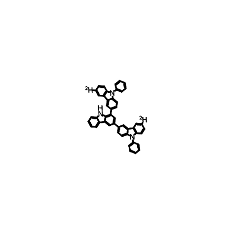 [2H]c1ccc2c(c1)c1cc(-c3cc(-c4ccc5c(c4)c4cc([2H])ccc4n5-c4ccccc4)c4[nH]c5ccccc5c4c3)ccc1n2-c1ccccc1